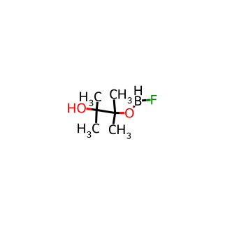 CC(C)(O)C(C)(C)OBF